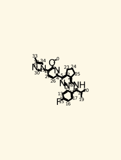 COc1nc(-c2nnc(N[C@H](c3ccc(F)cc3)C(C)C)c3c2CCC3)ccc1-n1cnc(C)c1